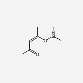 CC(=O)/C=C(/C)O[SiH](C)C